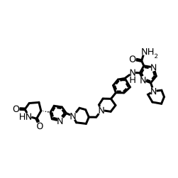 NC(=O)c1ncc(N2CCCCC2)nc1Nc1ccc(C2CCN(CC3CCN(c4ccc([C@H]5CCC(=O)NC5=O)cn4)CC3)CC2)cc1